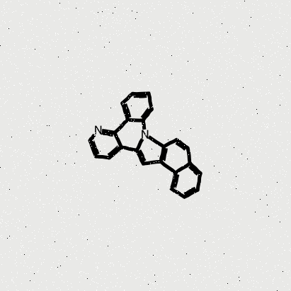 c1ccc2c(c1)ccc1c2cc2c3cccnc3c3ccccc3n12